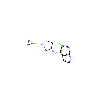 O=S(=O)(C1CC1)N1CC[C@@H](Nc2c(Cl)cnc3[nH]ccc23)C1